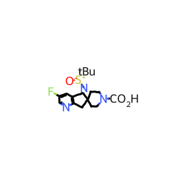 CC(C)(C)[S@@+]([O-])/N=C1\c2cc(F)cnc2CC12CCN(C(=O)O)CC2